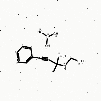 CC(C#Cc1ccccc1)(NCC(=O)O)C(=O)O.OB(O)O